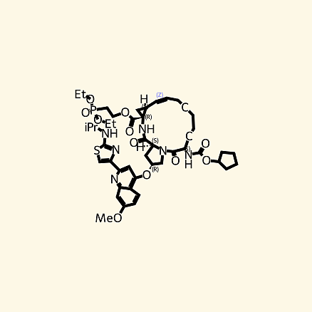 CCOP(=O)(CCOC(=O)[C@@]12C[C@H]1/C=C\CCCCC[C@H](NC(=O)OC1CCCC1)C(=O)N1C[C@H](Oc3cc(-c4csc(NC(C)C)n4)nc4cc(OC)ccc34)C[C@H]1C(=O)N2)OCC